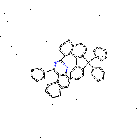 c1ccc(-c2nc(-c3cccc4ccc5c(c34)-c3ccccc3C5(c3ccccc3)c3ccccc3)nc3ccc4ccccc4c23)cc1